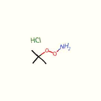 CC(C)(C)OON.Cl